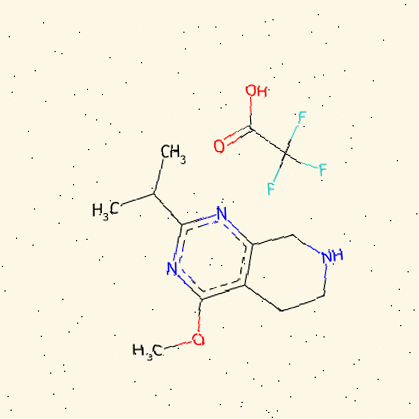 COc1nc(C(C)C)nc2c1CCNC2.O=C(O)C(F)(F)F